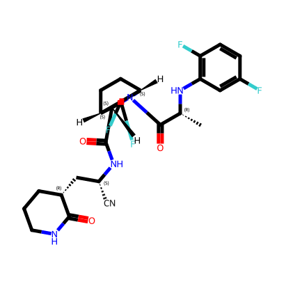 C[C@@H](Nc1cc(F)ccc1F)C(=O)N1[C@H]2CC[C@@H]([C@H]1C(=O)N[C@H](C#N)C[C@H]1CCCNC1=O)C(F)(F)C2